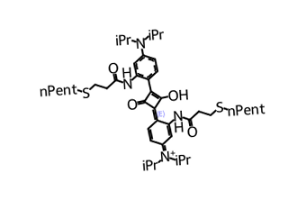 CCCCCSCCC(=O)NC1=CC(=[N+](C(C)C)C(C)C)C=C/C1=C1\C(=O)C(c2ccc(N(C(C)C)C(C)C)cc2NC(=O)CCSCCCCC)=C1O